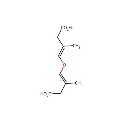 CCOC(=O)C/C(C)=C/O/C=C(\C)CC(=O)O